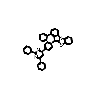 c1ccc(-c2cc(-c3ccc(-c4c5c(-c6ccccc6)cccc5n5c4sc4ccccc45)cc3)nc(-c3ccccc3)n2)cc1